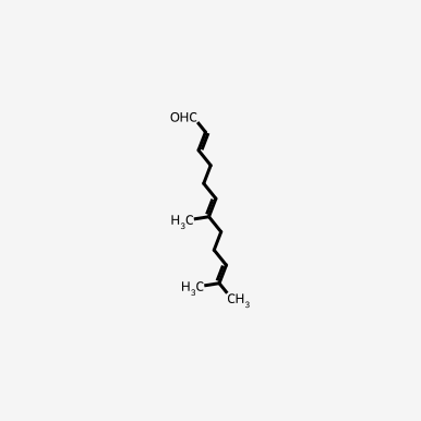 CC(C)=CCC/C(C)=C/CC/C=C/C=O